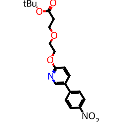 CC(C)(C)OC(=O)CCOCCOc1ccc(-c2ccc([N+](=O)[O-])cc2)cn1